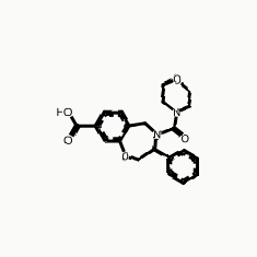 O=C(O)c1ccc2c(c1)OCC(c1ccccc1)N(C(=O)N1CCOCC1)C2